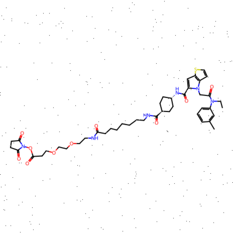 CCN(C(=O)Cn1c(C(=O)N[C@H]2CC[C@H](C(=O)NCCCCCCCC(=O)NCCOCCOCCC(=O)ON3C(=O)CCC3=O)CC2)cc2sccc21)c1cccc(C)c1